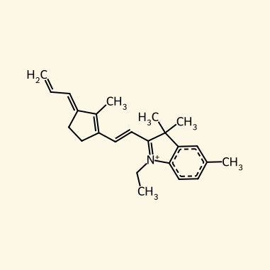 C=C/C=C1\CCC(/C=C/C2=[N+](CC)c3ccc(C)cc3C2(C)C)=C1C